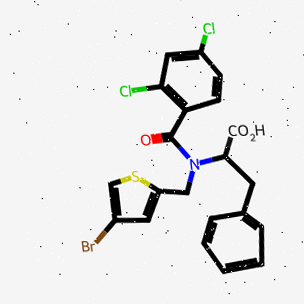 O=C(O)C(Cc1ccccc1)N(Cc1cc(Br)cs1)C(=O)c1ccc(Cl)cc1Cl